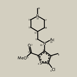 COC(=O)c1sc(Cl)c(C)c1N(CC1CCN(C)CC1)C(C)=O